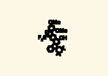 COc1ccc(-c2cc3c(O)cc4c(c3cc2N(C(F)(F)F)C(F)(F)F)-c2ccccc2C42CC(C)(C)CC(C)(C)C2)c(OC)c1